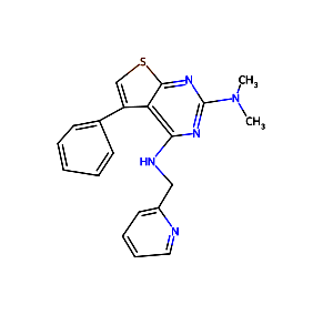 CN(C)c1nc(NCc2ccccn2)c2c(-c3ccccc3)csc2n1